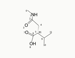 CNC(=O)C[C@@H](C(=O)O)C(C)C